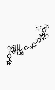 Cc1ncsc1-c1ccc(CNC(=O)[C@@H]2CCCN2C(=O)C(NC(=O)CCOCCOc2ccc(-c3ccc(N4C(=S)N(c5ccc(C#N)c(C(F)(F)F)c5)C(=O)C4(C)C)cc3)cc2)C(C)(C)C)cc1